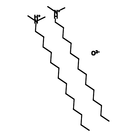 CCCCCCCCCCCCCC[NH+](C)C.CCCCCCCCCCCCCC[NH+](C)C.[O-2]